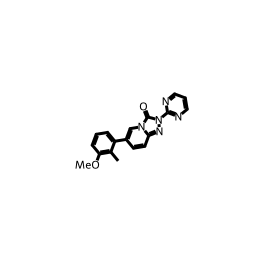 COc1cccc(-c2ccc3nn(-c4ncccn4)c(=O)n3c2)c1C